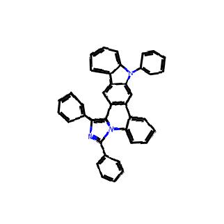 c1ccc(-c2nc(-c3ccccc3)n3c4ccccc4c4cc5c(cc4c23)c2ccccc2n5-c2ccccc2)cc1